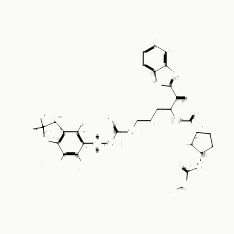 Cc1c(C)c(S(=O)(=O)NC(=N)NCCCC(NC(=O)[C@H]2CC[C@@H](NC(=O)OC(C)(C)C)C2)C(=O)c2nc3ccccc3s2)c(C)c2c1OC(C)(C)C2